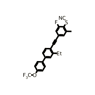 CCc1cc(-c2ccc(OC(F)(F)F)cc2)ccc1C#Cc1cc(C)c(SC#N)c(F)c1